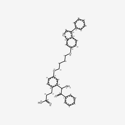 NC(C(=O)c1ccccc1)c1cc(OCCCCOc2ccc3c(-c4ccccc4)coc3c2)ccc1CCC(=O)O